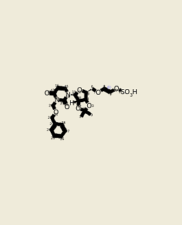 CC1(C)OC2[C@@H](CO/C=C/OS(=O)(=O)O)O[C@@H](n3ccc(=O)n(COCc4ccccc4)c3=O)[C@H]2O1